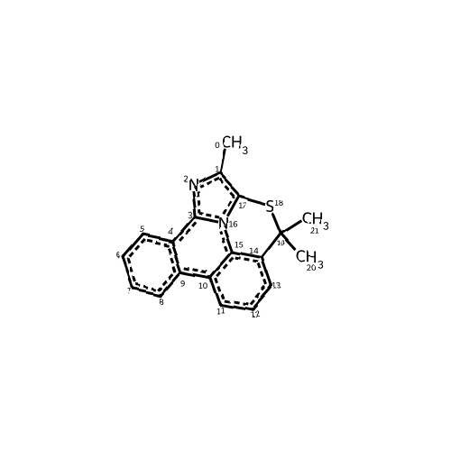 Cc1nc2c3ccccc3c3cccc4c3n2c1SC4(C)C